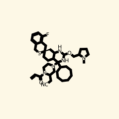 C=CC(=O)N1CCN(C2(C3CCCCCCC3)NC(OCC3CCCN3C)NC3C[C@]4(CCC32)Cc2c(F)cccc2CS4)CC1CC#N